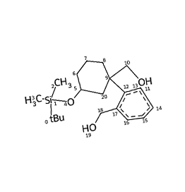 CC(C)(C)[Si](C)(C)OC1CCCC(CO)(c2ccccc2CO)C1